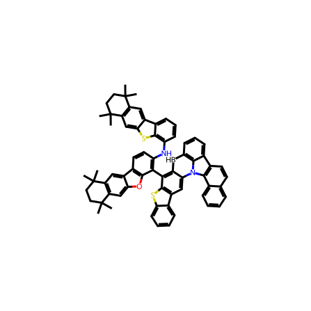 CC1(C)CCC(C)(C)c2cc3c(cc21)oc1c(-c2c4c(cc5c2sc2ccccc25)-n2c5c(cccc5c5ccc6ccccc6c52)B4)c(Nc2cccc4c2sc2cc5c(cc24)C(C)(C)CCC5(C)C)ccc13